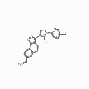 C=Cc1ccc2c(c1)CCc1c-2noc1-c1cnn(-c2ccc(F)cn2)c1C(F)(F)F